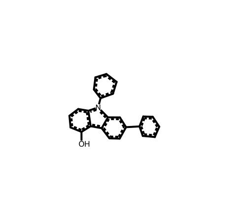 Oc1cccc2c1c1ccc(-c3ccccc3)cc1n2-c1ccccc1